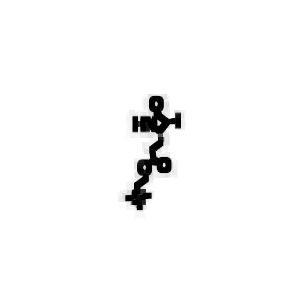 C[Si](C)(C)CCOC(=O)CC[C@@H]1NC(=O)[C@H]1I